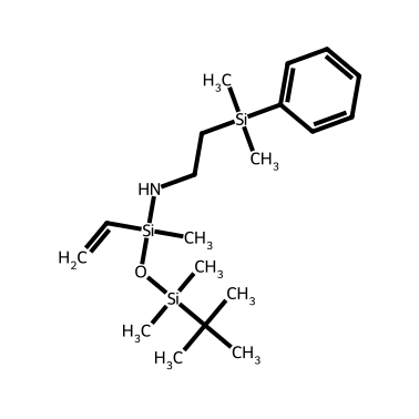 C=C[Si](C)(NCC[Si](C)(C)c1ccccc1)O[Si](C)(C)C(C)(C)C